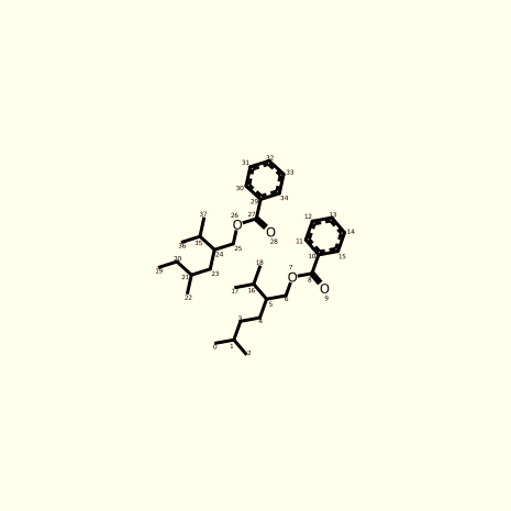 CC(C)CCC(COC(=O)c1ccccc1)C(C)C.CCC(C)CC(COC(=O)c1ccccc1)C(C)C